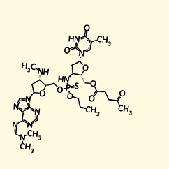 CCCOP(=S)(N[C@H]1C[C@H](n2cc(C)c(=O)[nH]c2=O)O[C@@H]1COC(=O)CCC(C)=O)OC[C@H]1O[C@@H](n2cnc3c(/N=C\N(C)C)ncnc32)C[C@@H]1NC